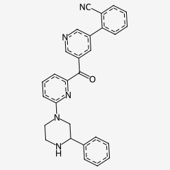 N#Cc1ccccc1-c1cncc(C(=O)c2cccc(N3CCNC(c4ccccc4)C3)n2)c1